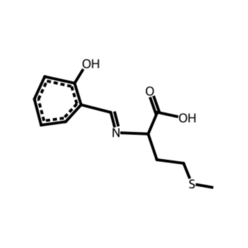 CSCCC(/N=C/c1ccccc1O)C(=O)O